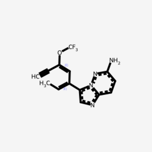 C#C/C(=C\C(=C/C)c1cnc2ccc(N)nn12)OC(F)(F)F